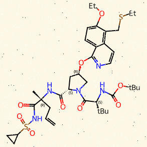 C=CC[C@@](C)(NC(=O)[C@@H]1C[C@@H](Oc2nccc3c(CSCC)c(OCC)ccc23)CN1C(=O)[C@@H](NC(=O)OC(C)(C)C)C(C)(C)C)C(=O)NS(=O)(=O)C1CC1